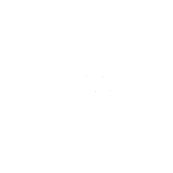 c1ccc(-c2nc(-n3c4ccccc4c4cc5c(cc43)-c3ccccc3-c3ccccc3-c3ccccc3-5)nc(-n3c4ccccc4c4cc5c(cc43)-c3ccccc3-c3ccccc3-c3ccccc3-5)n2)cc1